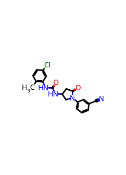 Cc1ccc(Cl)cc1NC(=O)NC1CC(=O)N(c2cccc(C#N)c2)C1